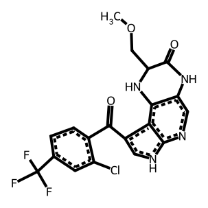 COCC1Nc2c(cnc3[nH]cc(C(=O)c4ccc(C(F)(F)F)cc4Cl)c23)NC1=O